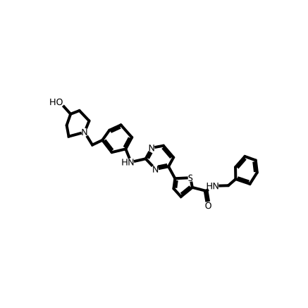 O=C(NCc1ccccc1)c1ccc(-c2ccnc(Nc3cccc(CN4CCC(O)CC4)c3)n2)s1